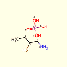 CCC(S)CN.O=P(O)(O)O